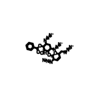 [N-]=[N+]=NCC1C=CC(N=[N+]=[N-])[C@@H](OC2C(N=[N+]=[N-])CC(N=[N+]=[N-])C(OC(=O)c3ccccc3)[C@H]2O)O1